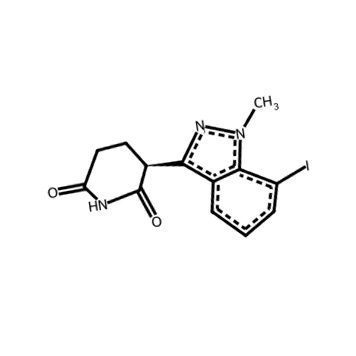 Cn1nc([C@@H]2CCC(=O)NC2=O)c2cccc(I)c21